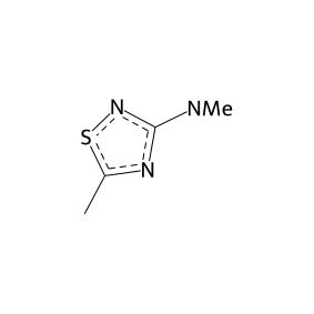 CNc1nsc(C)n1